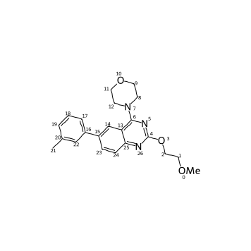 COCCOc1nc(N2CCOCC2)c2cc(-c3cccc(C)c3)ccc2n1